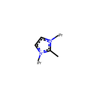 Cc1n(C(C)C)cc[n+]1C(C)C